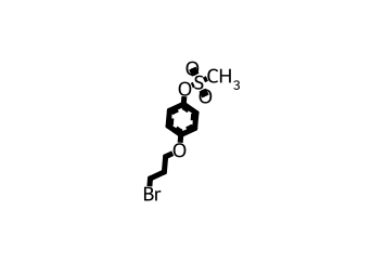 CS(=O)(=O)Oc1ccc(OCCCBr)cc1